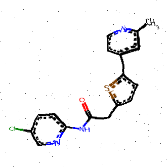 Cc1cc(-c2ccc(CC(=O)Nc3ccc(Cl)cn3)s2)ccn1